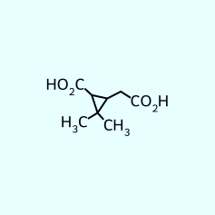 CC1(C)C(CC(=O)O)C1C(=O)O